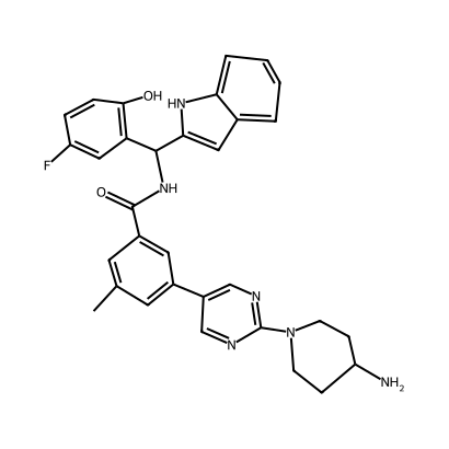 Cc1cc(C(=O)NC(c2cc3ccccc3[nH]2)c2cc(F)ccc2O)cc(-c2cnc(N3CCC(N)CC3)nc2)c1